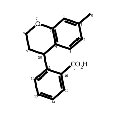 Cc1ccc2c(c1)OCCC2c1ccccc1C(=O)O